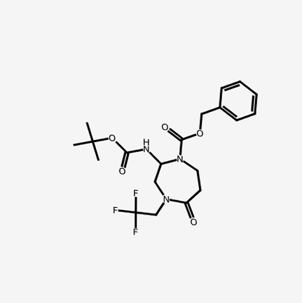 CC(C)(C)OC(=O)NC1CN(CC(F)(F)F)C(=O)CCN1C(=O)OCc1ccccc1